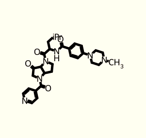 CC(C)CC(NC(=O)c1ccc(N2CCN(C)CC2)cc1)C(=O)N1CCC2C1C(=O)CN2C(=O)c1ccncc1